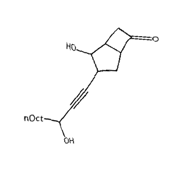 CCCCCCCCC(O)C#CC1CC2C(=O)CC2C1O